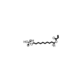 [2H]C(CCCCCCCCCOP(=O)(O)O)OC(=O)C=C